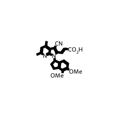 COc1ccc2c(c1OC)CCC2n1c(C=CC(=O)O)c(C#N)c2c(C)cc(C)nc21